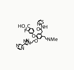 CNCCc1cc(OCCn2cc(-c3cnccn3)nn2)c(Oc2ccc(C(=O)O)c(F)c2)cc1CC(=O)Nc1nccs1